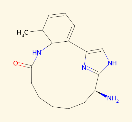 CC1C=CC=C2c3c[nH]c(n3)[C@@H](N)CCCCCC(=O)NC21